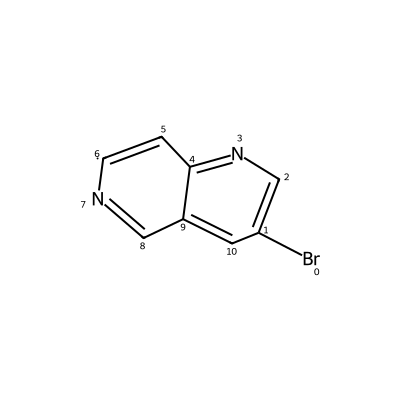 Brc1cnc2c[c]ncc2c1